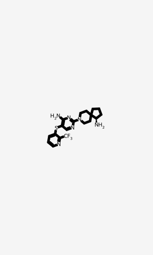 Nc1nc(N2CCC3(CCC[C@H]3N)CC2)ncc1Sc1cccnc1C(F)(F)F